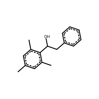 Cc1cc(C)c(C(O)Cc2ccccc2)c(C)c1